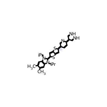 Cc1cc2c(cc1C)N(C(C)C)C(=c1cc3s/c(=c4/ccc(=C(C=N)C=N)nc4)cc3s1)N2C(C)C